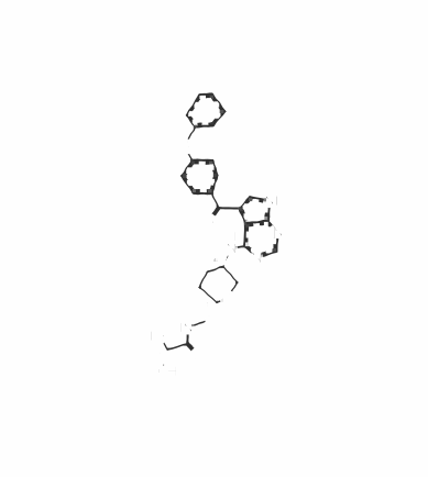 C[C@H](O)C(=O)NC[C@@H]1CC[C@@H](Nc2ncnc3[nH]cc(C(=O)c4ccc(Oc5ccccc5)cc4)c23)CO1